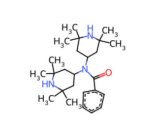 CC1(C)CC(N(C(=O)c2ccccc2)C2CC(C)(C)NC(C)(C)C2)CC(C)(C)N1